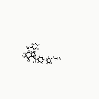 N#CCCn1cc(-c2ccc(Nc3nn([C@H]4CCCCC4C#N)c4cc[nH]c(=O)c34)cc2)cn1